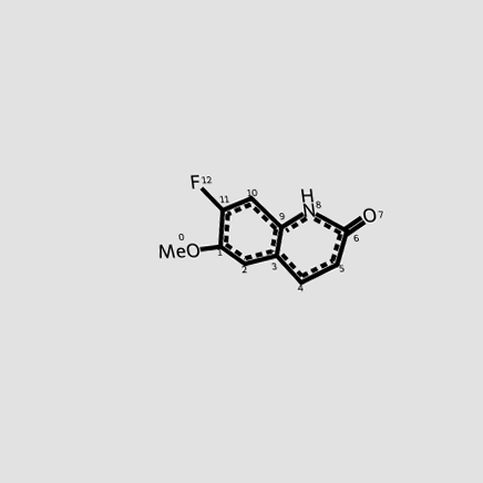 COc1cc2ccc(=O)[nH]c2cc1F